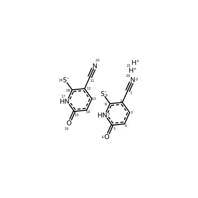 N#Cc1ccc(=O)[nH]c1[S-].N#Cc1ccc(=O)[nH]c1[S-].[H+].[H+]